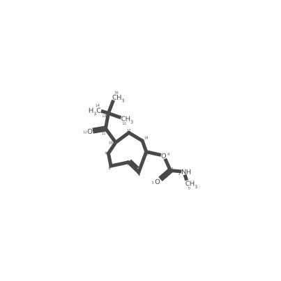 CNC(=O)OC1/C=C/CCC(C(=O)C(C)(C)C)CC1